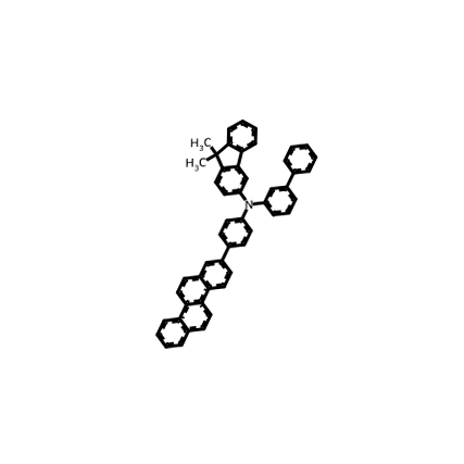 CC1(C)c2ccccc2-c2cc(N(c3ccc(-c4ccc5c(ccc6c7ccccc7ccc56)c4)cc3)c3cccc(-c4ccccc4)c3)ccc21